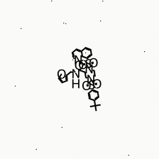 CC(C)(C)c1ccc(S(=O)(=O)N2CCN(S(=O)(=O)c3cccc4cccnc34)C(C(=O)NCc3ccco3)C2)cc1